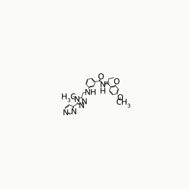 COc1ccc2c(c1)OCC[C@@H]2NC(=O)c1cccc(NCc2nnc(-c3ccncn3)n2C)c1